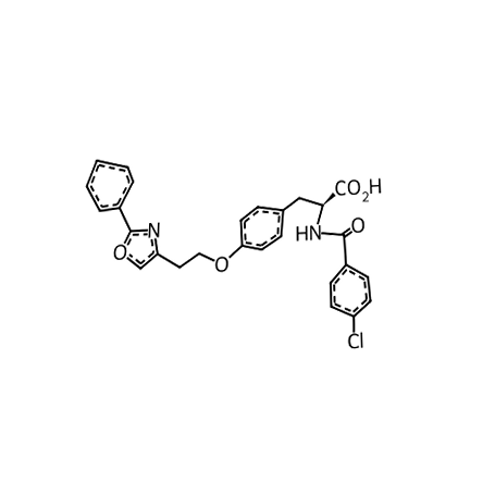 O=C(N[C@@H](Cc1ccc(OCCc2coc(-c3ccccc3)n2)cc1)C(=O)O)c1ccc(Cl)cc1